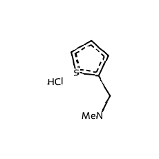 CNCc1cccs1.Cl